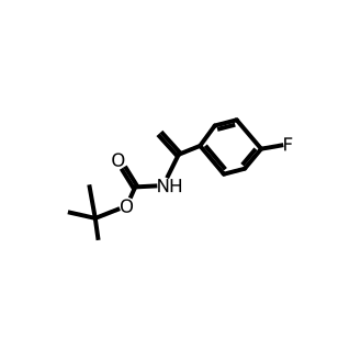 C=C(NC(=O)OC(C)(C)C)c1ccc(F)cc1